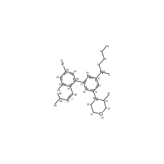 CCCCN(C)c1cc(N2CCOCC2C)cc(-c2cc(F)cc(C)c2/C=C\C(C)C)n1